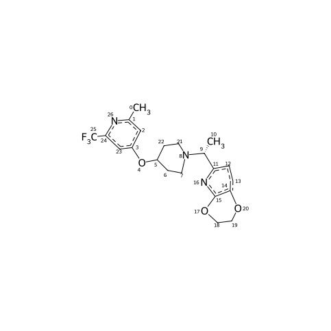 Cc1cc(OC2CCN([C@H](C)c3ccc4c(n3)OCCO4)CC2)cc(C(F)(F)F)n1